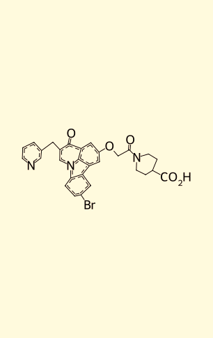 O=C(O)C1CCN(C(=O)COc2cc3c(=O)c(Cc4cccnc4)cn4c5ccc(Br)cc5c(c2)c34)CC1